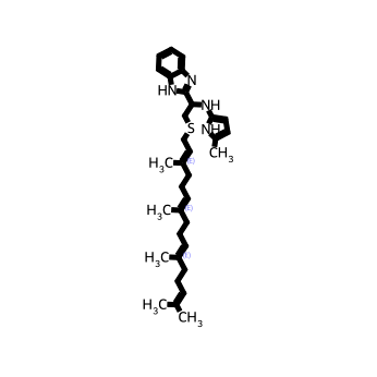 CC(C)=CCC/C(C)=C/CC/C(C)=C/CC/C(C)=C/CSCC(Nc1ccc(C)[nH]1)c1nc2ccccc2[nH]1